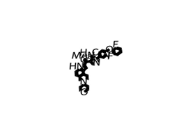 CNc1c(C(=O)c2cc3c4c(ccc3[nH]2)CN(C2CCOCC2)CC4)cnn1-c1cnc(Oc2c(F)cccc2F)cc1C